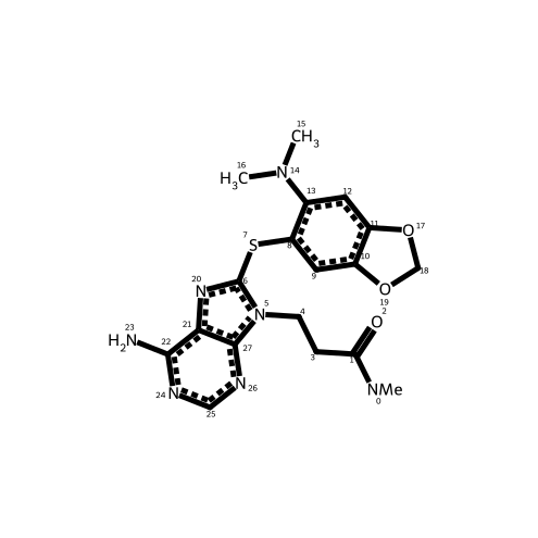 CNC(=O)CCn1c(Sc2cc3c(cc2N(C)C)OCO3)nc2c(N)ncnc21